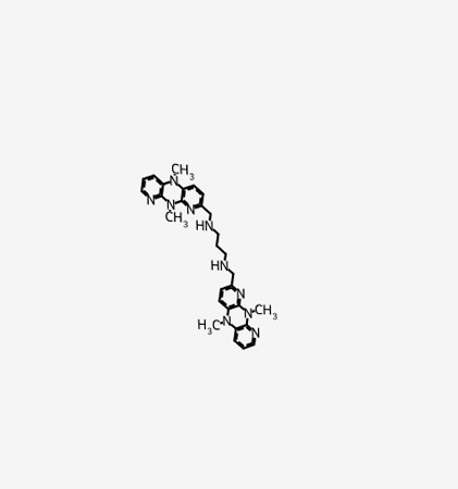 CN1c2cccnc2N(C)c2nc(CNCCCNCc3ccc4c(n3)N(C)c3ncccc3N4C)ccc21